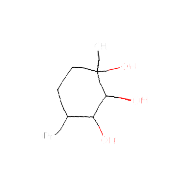 CC(C)C1CCC(C)(O)C(O)C1O